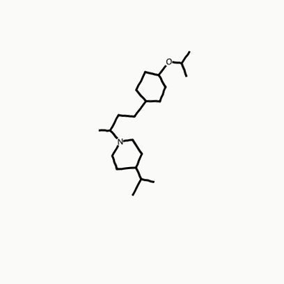 CC(C)OC1CCC(CCC(C)N2CCC(C(C)C)CC2)CC1